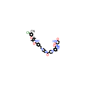 CC1(C)C(NC(=O)c2ccc(CCN3CC4CN(C(=O)C5CCN(c6ccc7nnn(C8CCC(=O)NC8=O)c(=O)c7c6)CC5)CC4C3)cc2)C(C)(C)C1Oc1ccc(C#N)c(Cl)c1